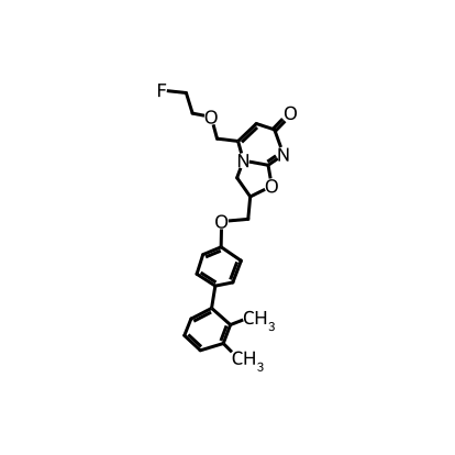 Cc1cccc(-c2ccc(OCC3Cn4c(COCCF)cc(=O)nc4O3)cc2)c1C